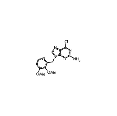 COc1ccnc(Cn2cnc3c(Cl)nc(N)nc32)c1OC